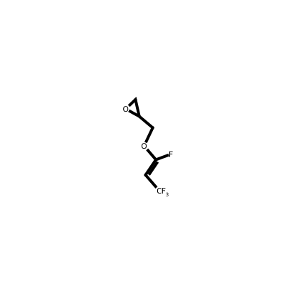 FC(=CC(F)(F)F)OCC1CO1